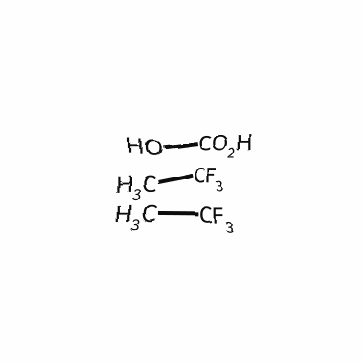 CC(F)(F)F.CC(F)(F)F.O=C(O)O